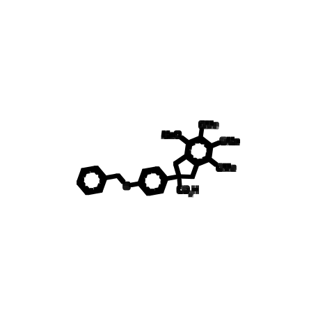 COc1c2c(c(OC)c(OC)c1OC)CC(C(=O)O)(c1ccc(OCc3ccccc3)cc1)C2